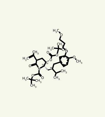 C=C(C)C1C[C@H](OC(=O)OC(C)(C)C)[C@H](C[C@@H](Cc2ccc(OC)c(OCCCOC)c2)C(C)C)N(C(=O)OC(C)(C)C)C1=O